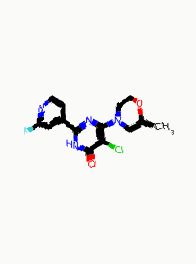 CC1CN(c2nc(-c3ccnc(F)c3)[nH]c(=O)c2Cl)CCO1